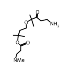 CNCCC(=O)OC(C)(C)CCOC(C)(C)C(=O)CCN